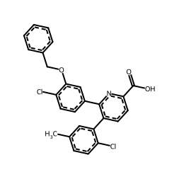 Cc1ccc(Cl)c(-c2ccc(C(=O)O)nc2-c2ccc(Cl)c(OCc3ccccc3)c2)c1